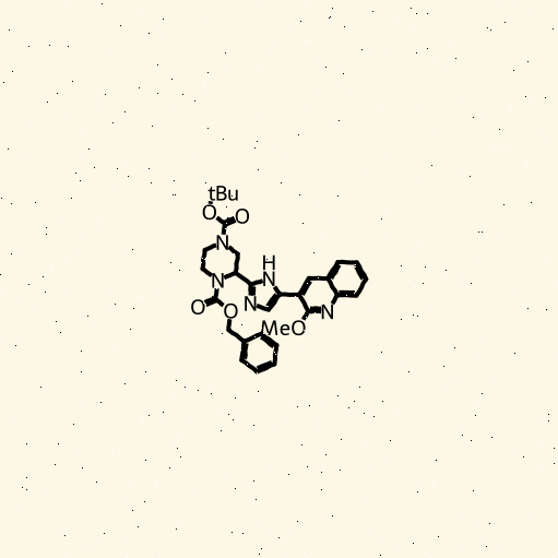 COc1nc2ccccc2cc1-c1cnc(C2CN(C(=O)OC(C)(C)C)CCN2C(=O)OCc2ccccc2)[nH]1